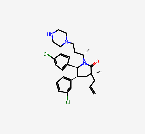 C=CC[C@@]1(C)C[C@H](c2cccc(Cl)c2)[C@@H](c2ccc(Cl)cc2)N([C@@H](C)CCN2CCNCC2)C1=O